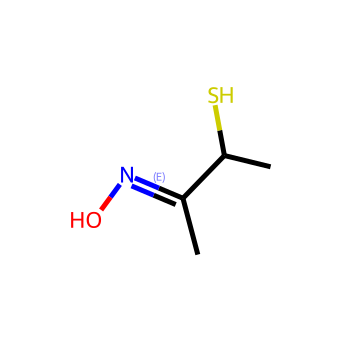 C/C(=N\O)C(C)S